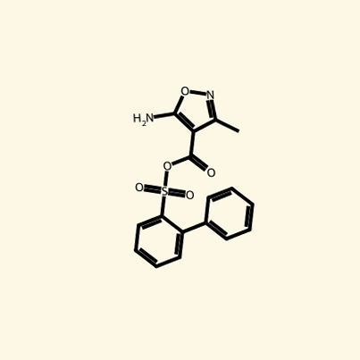 Cc1noc(N)c1C(=O)OS(=O)(=O)c1ccccc1-c1ccccc1